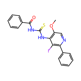 COc1cnc(-c2ccccc2)c(I)c1NC(=S)NC(=O)c1ccccc1